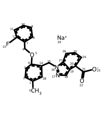 Cc1ccc(OCc2ccccc2F)c(Cn2ncc3c(C(=O)[O-])cccc32)c1.[Na+]